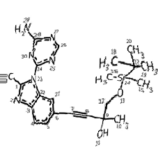 Cc1nc2ccc(C#CC(C)(O)CO[Si](C)(C)C(C)(C)C)cc2n1-c1ncnc(N)n1